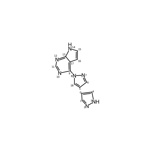 c1cn[nH]c1.c1cnn(-c2ncnc3[nH]ccc23)c1